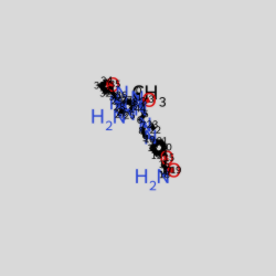 Cn1c(=O)n(CCN2CCN(c3ccc(OCC(N)=O)cc3)CC2)c2nc(N)n3nc(-c4ccco4)nc3c21